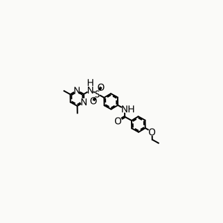 CCOc1ccc(C(=O)Nc2ccc(S(=O)(=O)Nc3nc(C)cc(C)n3)cc2)cc1